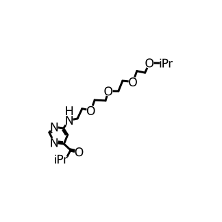 CC(C)OCCOCCOCCOCCNc1cc(C(=O)C(C)C)ncn1